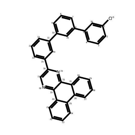 Clc1cccc(-c2cccc(-c3cccc(-c4cnc5c6ccccc6c6ccccc6c5n4)c3)c2)c1